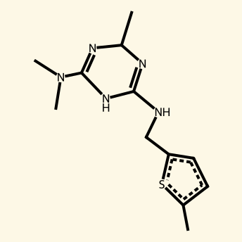 Cc1ccc(CNC2=NC(C)N=C(N(C)C)N2)s1